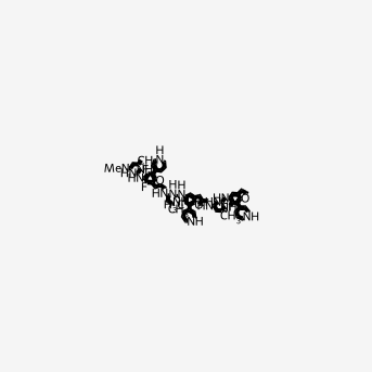 CNC1CC(C)NC(Nc2c(F)c3c(c(C4=CCNCCC4)c2F)OC(CNC2CC(C)NC(Nc4cc5c(c(C6=CCNCCC6)c4C)OC(CNC4CC(C)NC(Nc6cc7c(c(C8=CCNCCC8)c6Cl)OCC7)N4)C5)N2)C3)N1